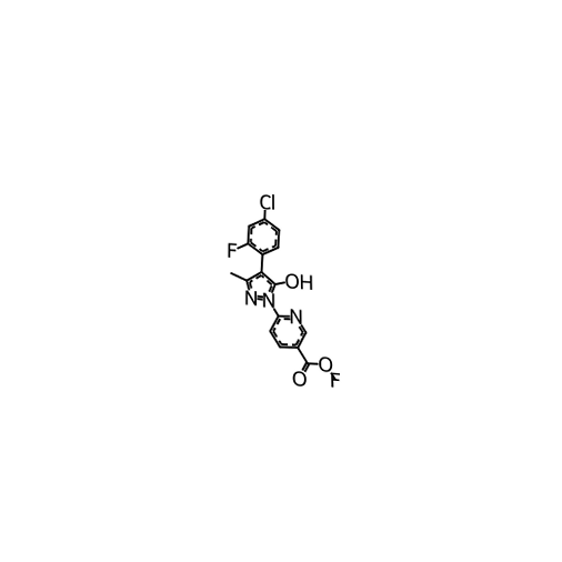 Cc1nn(-c2ccc(C(=O)OF)cn2)c(O)c1-c1ccc(Cl)cc1F